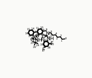 CCCCCCCN(Cc1ccc(-c2ccccc2S(=O)(=O)NC(C)(C)C)cc1)C(=O)Nc1c(F)cc(F)cc1F